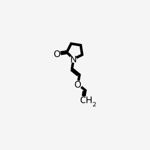 C=COC=CN1CCCC1=O